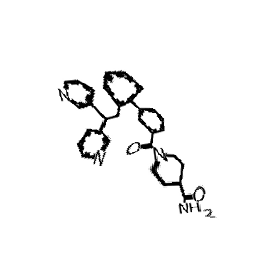 NC(=O)C1CCN(C(=O)c2cccc(-c3ccccc3CC(c3cccnc3)c3cccnc3)c2)CC1